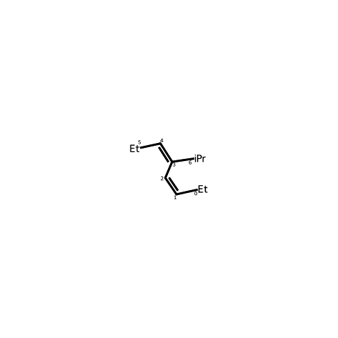 CC/C=C\C(=C/CC)C(C)C